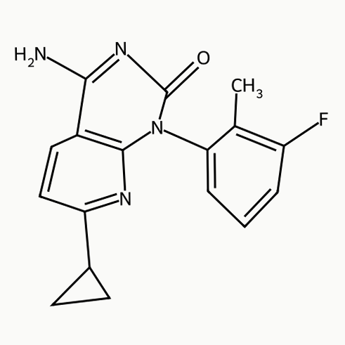 Cc1c(F)cccc1-n1c(=O)nc(N)c2ccc(C3CC3)nc21